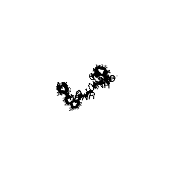 O=C(NCCOCCNc1n[n+]([O-])c2ccccc2[n+]1[O-])c1cccc2ccc(-c3ccncc3)nc12